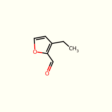 CCc1ccoc1C=O